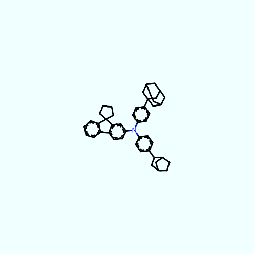 c1ccc2c(c1)-c1ccc(N(c3ccc(C4CC5CCC4C5)cc3)c3ccc(C45CC6CC(CC(C6)C4)C5)cc3)cc1C21CCCC1